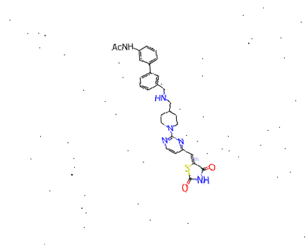 CC(=O)Nc1cccc(-c2cccc(CNCC3CCN(c4nccc(/C=C5\SC(=O)NC5=O)n4)CC3)c2)c1